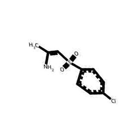 CC(N)=CS(=O)(=O)c1ccc(Cl)cc1